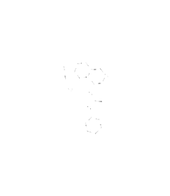 CS(=O)(=O)c1ccc2cncc(N3C(=O)N(c4cccc(Cl)c4)CC3C#N)c2c1